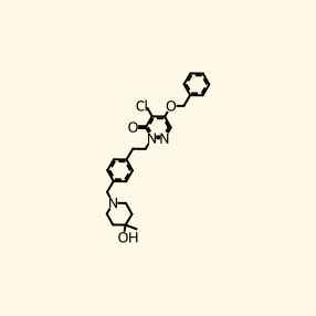 CC1(O)CCN(Cc2ccc(CCn3ncc(OCc4ccccc4)c(Cl)c3=O)cc2)CC1